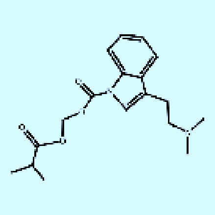 CC(C)C(=O)OCOC(=O)n1cc(CCN(C)C)c2ccccc21